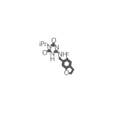 CC(C)n1c(=O)nc(NCc2cc3c(cc2F)CCO3)[nH]c1=O